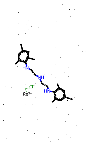 Cc1cc(C)c(NCCNCCNc2c(C)cc(C)cc2C)c(C)c1.[Cl-].[Cl-].[Re+2]